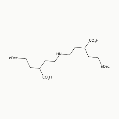 CCCCCCCCCCCCC(CCNCCC(CCCCCCCCCCCC)C(=O)O)C(=O)O